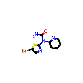 NC(=O)N(c1ccccn1)c1ncc(Br)s1